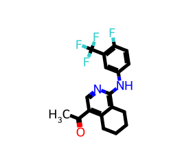 CC(=O)c1cnc(Nc2ccc(F)c(C(F)(F)F)c2)c2c1CCCC2